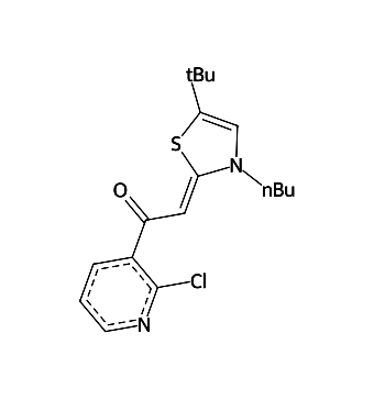 CCCCN1C=C(C(C)(C)C)SC1=CC(=O)c1cccnc1Cl